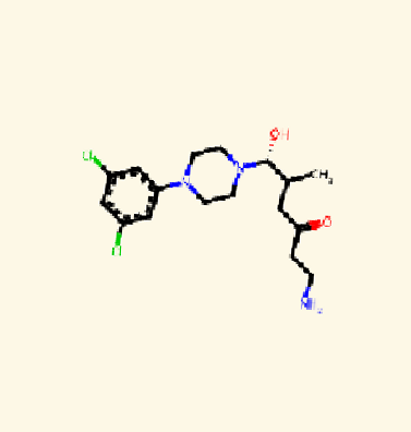 CC(CC(=O)CCN)[C@@H](O)N1CCN(c2cc(Cl)cc(Cl)c2)CC1